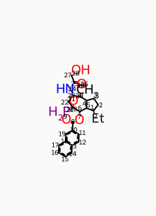 CCC1CCC2C1C(OC(=O)c1ccc3ccccc3c1)C1(P)CC(NC(=O)CO)C2(C)O1